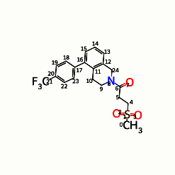 CS(=O)(=O)CCC(=O)N1CCc2c(cccc2-c2ccc(C(F)(F)F)cc2)C1